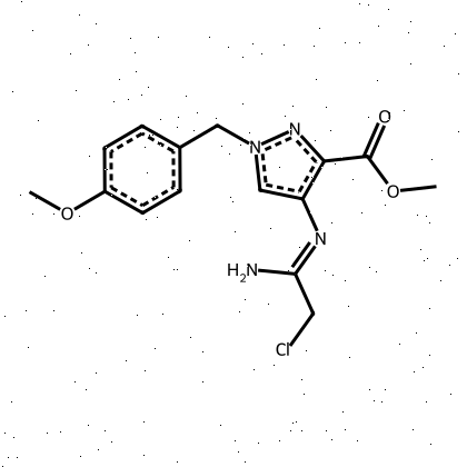 COC(=O)c1nn(Cc2ccc(OC)cc2)cc1N=C(N)CCl